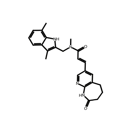 Cc1c(CN(C)C(=O)/C=C/c2cnc3c(c2)CCCC(=O)N3)[nH]c2c(C)cccc12